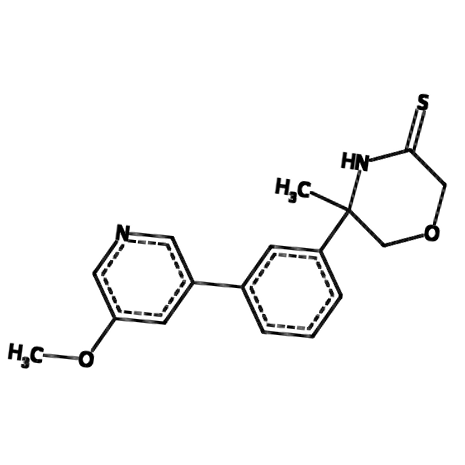 COc1cncc(-c2cccc(C3(C)COCC(=S)N3)c2)c1